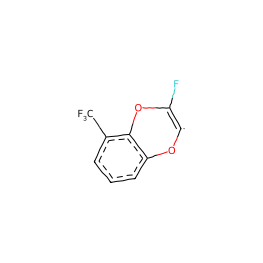 FC1=[C]Oc2cccc(C(F)(F)F)c2O1